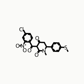 CSc1ccc(C2CC(=O)C(C(=O)c3ccc(Cl)cc3[N+](=O)[O-])C(=O)N2C)cc1